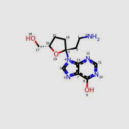 NCC[C@]1(n2cnc3c(O)ncnc32)CC[C@@H](CO)O1